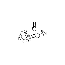 Cc1cnn(C(C(=O)N2C[C@H](O)C[C@H]2C(=O)NCc2ccc(-c3scnc3C)cc2OC2CCNCC2)C(C)C)c1